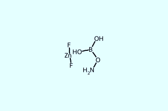 NOB(O)O.[F][Zn][F]